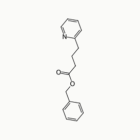 O=C(CCCc1ccccn1)OCc1ccccc1